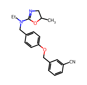 CCN(Cc1ccc(OCc2cccc(C#N)c2)cc1)C1=NCC(C)O1